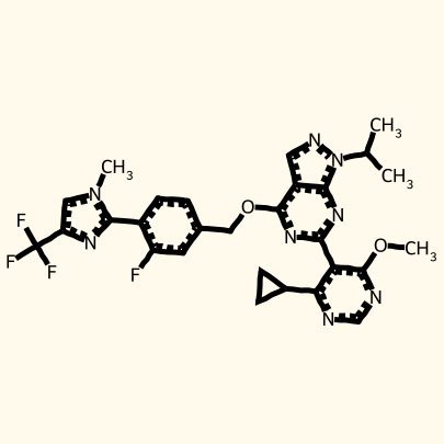 COc1ncnc(C2CC2)c1-c1nc(OCc2ccc(-c3nc(C(F)(F)F)cn3C)c(F)c2)c2cnn(C(C)C)c2n1